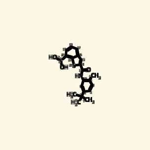 Cc1ccc(C(C)(C)C)cc1NC(=O)c1cc2cccc(N(O)O)c2s1